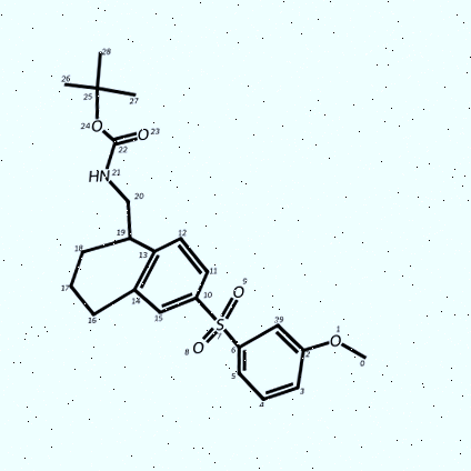 COc1cccc(S(=O)(=O)c2ccc3c(c2)CCCC3CNC(=O)OC(C)(C)C)c1